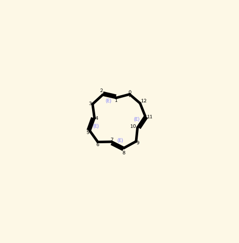 [CH]1/C=C/C/C=C/C/C=C/C/C=C/C1